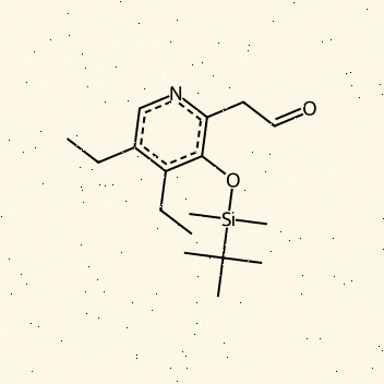 CCc1cnc(CC=O)c(O[Si](C)(C)C(C)(C)C)c1CC